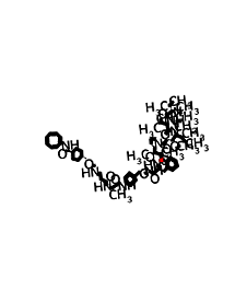 CC[C@H](C)[C@@H]([C@@H](CC(=O)N1CCC[C@H]1[C@H](OC)[C@@H](C)C(=O)N[C@@H](Cc1ccccc1)C(=O)NOCc1ccc(NC(=O)[C@@H](C)NC(=O)CCNCOC[C@H]2CC[C@H](C(=O)NC3=C/C=C\C=C/C=C\3)CC2)cc1)OC)N(C)C(=O)[C@@H](NC(=O)[C@H](C(C)C)N(C)C)C(C)C